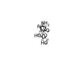 Nc1nc(=O)n([C@@H]2O[C@H](CO)C[C@H]2O)cc1F